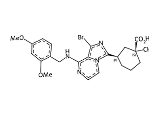 COc1ccc(CNc2nccn3c([C@@H]4CCC[C@](C)(C(=O)O)C4)nc(Br)c23)c(OC)c1